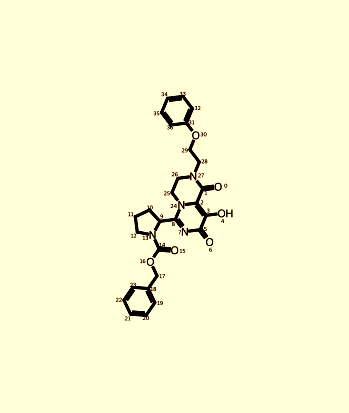 O=C1c2c(O)c(=O)nc(C3CCCN3C(=O)OCc3ccccc3)n2CCN1CCOc1ccccc1